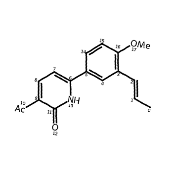 CC=Cc1cc(-c2ccc(C(C)=O)c(=O)[nH]2)ccc1OC